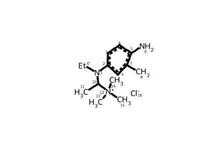 CCN(c1ccc(N)c(C)c1)C(C)[N+](C)(C)C.[Cl-]